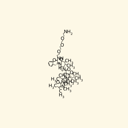 CCC(C)[C@@H]([C@@H](CC(=O)N1CCCC1C(C)C(C)C(=O)N[C@H](Cc1ccccc1)C(=O)NCCOCCOCCOCCN)OC)N(C)C(=O)[C@H](NC(=O)C1(N(C)C)C(C)C1C)C(C)C